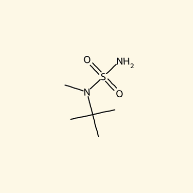 CN(C(C)(C)C)S(N)(=O)=O